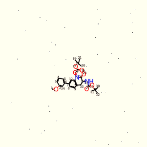 COc1cccc(-c2ccc3c(c2)N(OC(=O)OC(C)(C)C)C(=O)C(NC(=O)OC(C)(C)C)C3)c1